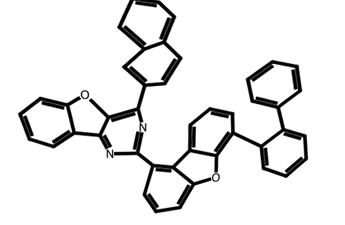 c1ccc(-c2ccccc2-c2cccc3c2oc2cccc(-c4nc(-c5ccc6ccccc6c5)c5oc6ccccc6c5n4)c23)cc1